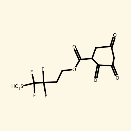 O=C1CC(=O)C(=O)C(C(=O)OCCC(F)(F)C(F)(F)S(=O)(=O)O)C1